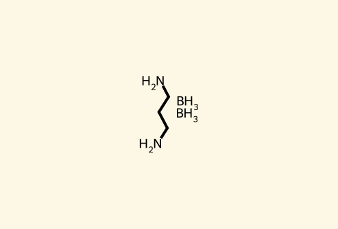 B.B.NCCCN